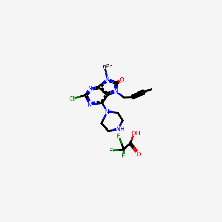 CC#CCn1c(=O)n(CCC)c2nc(Cl)nc(N3CCNCC3)c21.O=C(O)C(F)(F)F